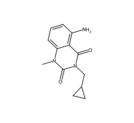 Cn1c(=O)n(CC2CC2)c(=O)c2c(N)cccc21